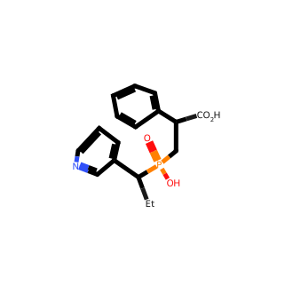 CCC(c1cccnc1)P(=O)(O)CC(C(=O)O)c1ccccc1